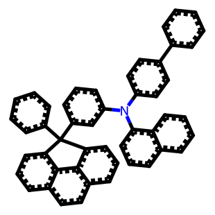 c1ccc(-c2ccc(N(c3cccc(C4(c5ccccc5)c5cccc6ccc7cccc4c7c56)c3)c3cccc4ccccc34)cc2)cc1